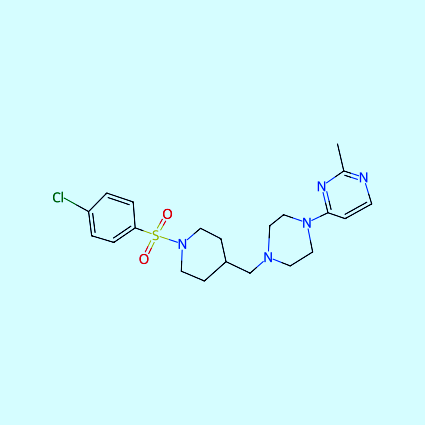 Cc1nccc(N2CCN(CC3CCN(S(=O)(=O)c4ccc(Cl)cc4)CC3)CC2)n1